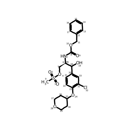 CS(=O)(=O)OC[C@@H](NC(=O)OCc1ccccc1)C(O)c1ccc(OC2CCOCC2)c(Cl)c1